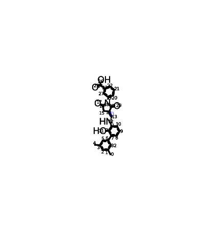 Cc1cc(C)cc(-c2cccc(N/C=C3\CC(=O)N(c4cccc(C(=O)O)c4)C3=O)c2O)c1